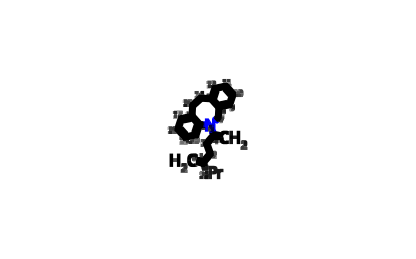 C=C(CCC(=C)N1Cc2ccccc2CCc2ccccc21)C(C)C